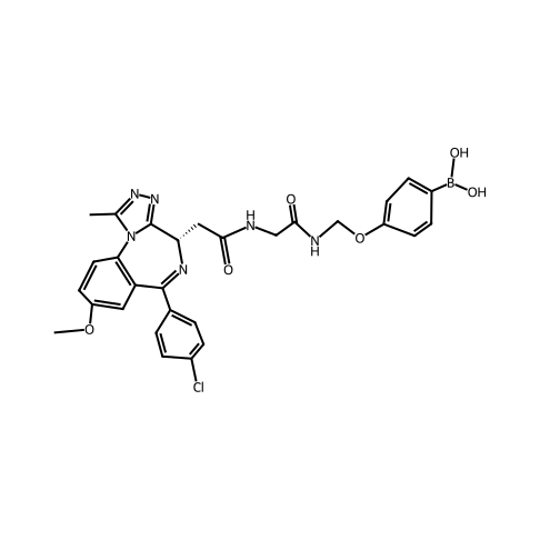 COc1ccc2c(c1)C(c1ccc(Cl)cc1)=N[C@@H](CC(=O)NCC(=O)NCOc1ccc(B(O)O)cc1)c1nnc(C)n1-2